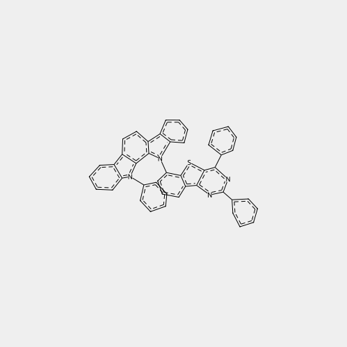 c1ccc(-c2nc(-c3ccccc3)c3sc4c(-n5c6ccccc6c6ccc7c8ccccc8n(-c8ccccc8)c7c65)cccc4c3n2)cc1